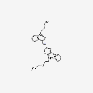 COCCOCCn1c2ccccc2c2cc(/C=C/c3cc[n+](CCCO)c4ccccc34)ccc21